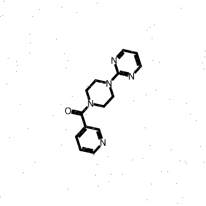 O=C(c1cc[c]nc1)N1CCN(c2ncccn2)CC1